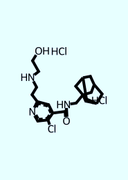 Cl.Cl.O=C(NCC12CC3CC(CC(C3)C1)C2)c1cc(CCNCCO)ncc1Cl